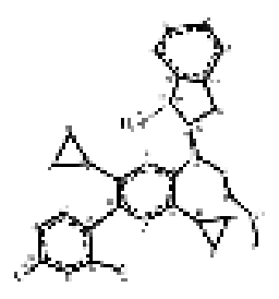 COCCN(c1nc(C2CC2)c(-c2ccc(Cl)cc2Cl)nc1C1CC1)[C@@H]1Cc2ccccc2[C@H]1N